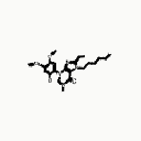 CCCCCCn1c(CC)nc2c1C(=O)N(C)CN2c1cc(OC)c(OC)cc1Cl